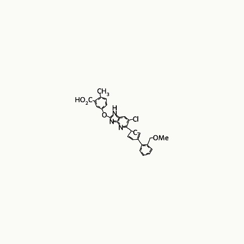 COCc1ccccc1C1=CCC(c2nc3nc(Oc4ccc(C)c(C(=O)O)c4)[nH]c3cc2Cl)C=C1